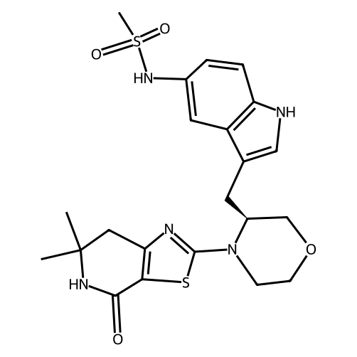 CC1(C)Cc2nc(N3CCOC[C@@H]3Cc3c[nH]c4ccc(NS(C)(=O)=O)cc34)sc2C(=O)N1